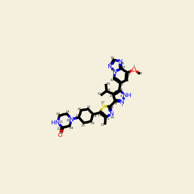 COc1cc(-c2[nH]nc(-c3nc(C)c(C4CCC(N5CCNC(=O)C5)CC4)s3)c2C(C)C)cn2ncnc12